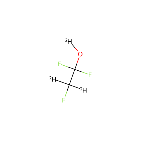 [2H]OC(F)(F)C([2H])([2H])F